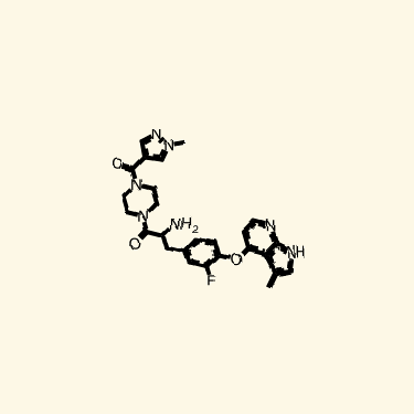 Cc1c[nH]c2nccc(Oc3ccc(CC(N)C(=O)N4CCN(C(=O)c5cnn(C)c5)CC4)cc3F)c12